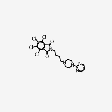 O=C1c2c(Cl)c(Cl)c(Cl)c(Cl)c2C(=O)N1CCCCN1CCN(c2ncccn2)CC1